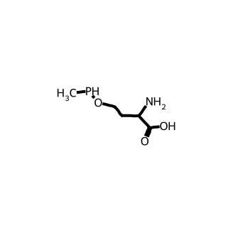 CPOCCC(N)C(=O)O